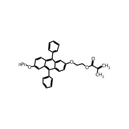 C=C(C)C(=O)OCCOc1ccc2c(-c3ccccc3)c3cc(OCCC)ccc3c(-c3ccccc3)c2c1